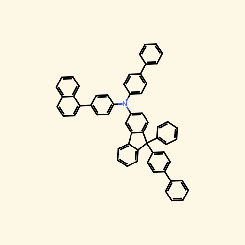 c1ccc(-c2ccc(N(c3ccc(-c4cccc5ccccc45)cc3)c3ccc4c(c3)-c3ccccc3C4(c3ccccc3)c3ccc(-c4ccccc4)cc3)cc2)cc1